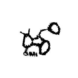 COc1cc(C)c(C)c2c1c1ccccc1n2Cc1ccccc1